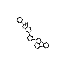 Cn1c(-c2ccccc2)nc2cc(-c3cccc(-c4ccc5c6c(cccc46)-c4ccccc4-5)c3)ccc21